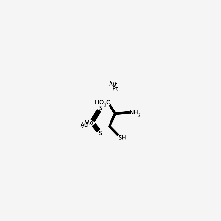 NC(CS)C(=O)O.[Au].[Au].[Pt].[S]=[Mo]=[S]